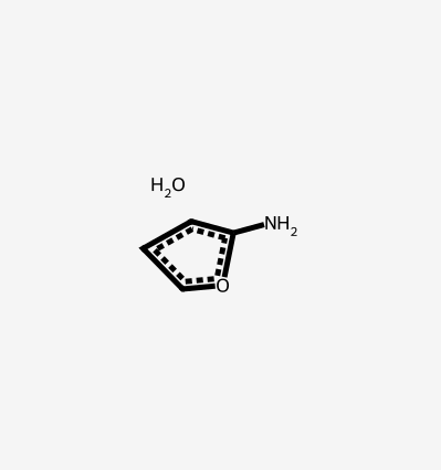 Nc1ccco1.O